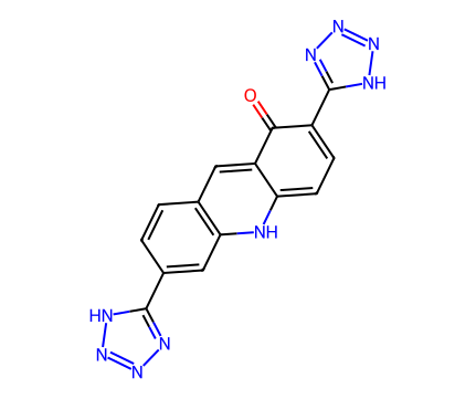 O=c1c2cc3ccc(-c4nnn[nH]4)cc3[nH]c-2ccc1-c1nnn[nH]1